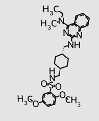 CCN(C)c1nc(NC[C@H]2CC[C@H](CNS(=O)(=O)c3cc(OC)ccc3OC)CC2)nc2ccccc12